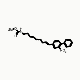 CC(C)(C)OC(=O)NCCCCCCC/C=C/c1ccc(-c2ccccc2)c([N+](=O)[O-])c1